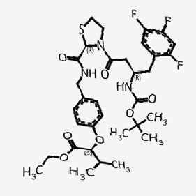 CCOC(=O)[C@@H](Oc1ccc(CNC(=O)[C@H]2SCCN2C(=O)C[C@@H](Cc2cc(F)c(F)cc2F)NC(=O)OC(C)(C)C)cc1)C(C)C